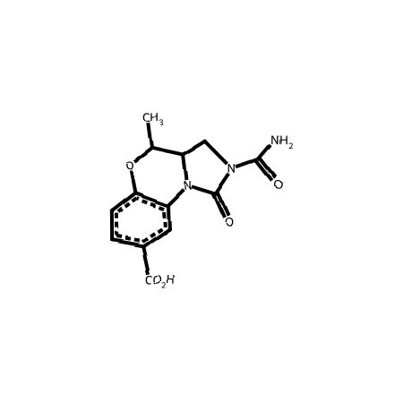 CC1Oc2ccc(C(=O)O)cc2N2C(=O)N(C(N)=O)CC12